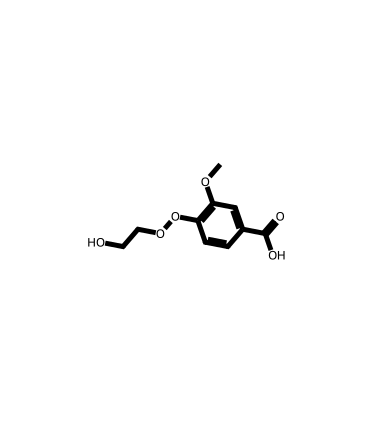 COc1cc(C(=O)O)ccc1OOCCO